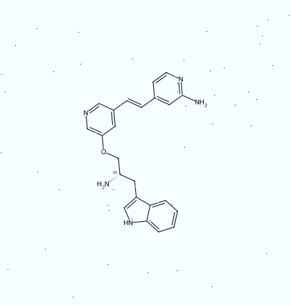 Nc1cc(C=Cc2cncc(OC[C@@H](N)Cc3c[nH]c4ccccc34)c2)ccn1